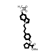 COC(=O)C1(Oc2ccc(CCCn3ccc4cc(OS(C)(=O)=O)ccc43)cc2)CCCC1